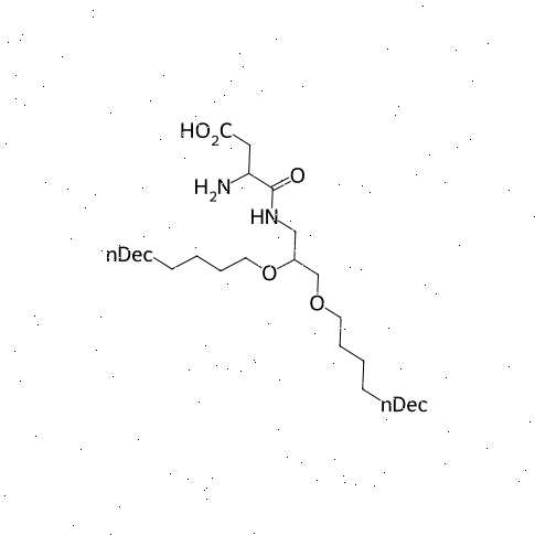 CCCCCCCCCCCCCCOCC(CNC(=O)C(N)CC(=O)O)OCCCCCCCCCCCCCC